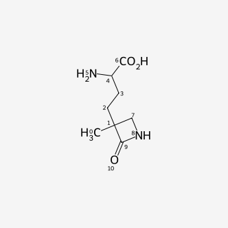 CC1(CCC(N)C(=O)O)CNC1=O